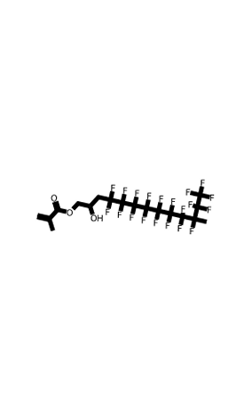 C=C(C)C(=O)OCC(O)CC(F)(F)C(F)(F)C(F)(F)C(F)(F)C(F)(F)C(F)(F)C(F)(F)C(C)(F)C(F)(F)C(F)(F)F